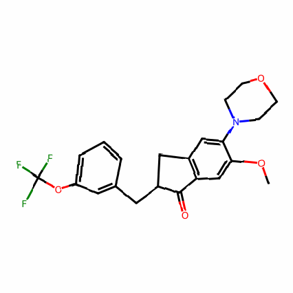 COc1cc2c(cc1N1CCOCC1)CC(Cc1cccc(OC(F)(F)F)c1)C2=O